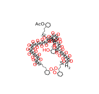 CC(=O)Oc1ccccc1CCC[Si](C)(C)O[SiH2][Si](=O)[Si](=O)[Si](=O)[Si](=O)[Si](=O)[Si](=O)[Si](=O)[Si](=O)[Si](=O)[Si](=O)[Si](=O)[Si](=O)[Si](=O)[Si](=O)[Si](=O)[Si](=O)[Si](=O)[Si](C)(C)CCCc1ccccc1OC(=O)Oc1ccccc1CCC[Si](C)(C)O[SiH2][Si](=O)[Si](=O)[Si](=O)[Si](=O)[Si](=O)[Si](=O)[Si](=O)[Si](=O)[Si](=O)[Si](=O)[Si](=O)[Si](=O)[Si](=O)[Si](=O)[Si](=O)[Si](=O)[Si](=O)[Si](C)(C)CCCc1ccccc1O